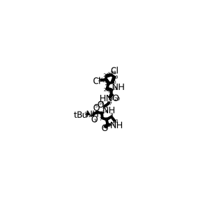 CC(C)(C)NC(=O)C(=O)C(CC1CCNC1=O)NC(=O)CNC(=O)c1cc2c(Cl)cc(Cl)cc2[nH]1